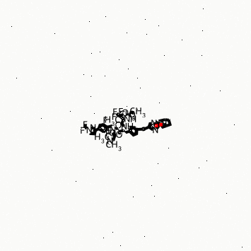 COC(=O)NC(C(=O)N[C@@H](Cc1ccc(C#Cc2cnc(N3CC4CCC(C3)N4C3COC3)nc2)cc1)[C@H](CNCc1c(F)cc(-c2ccn(C(F)F)n2)cc1F)OC(=O)CN(C)C)C(C)(C)C(F)(F)F